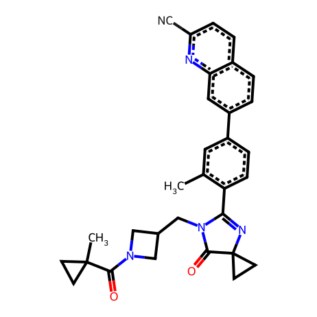 Cc1cc(-c2ccc3ccc(C#N)nc3c2)ccc1C1=NC2(CC2)C(=O)N1CC1CN(C(=O)C2(C)CC2)C1